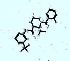 Cc1ccccc1C(=O)N1CCCC(C(=O)Nc2cccc(C(C)(C)C)c2)[C@@H]1C(C)C